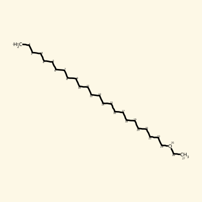 [CH2]CCCCCCCCCCCCCCCCCCCCCCCCOCC